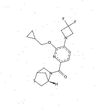 O=C(c1ccc(N2CC(F)(F)C2)c(OCC2CC2)n1)N1CC2C[C@H]1CS2